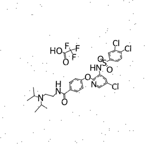 CC(C)N(CCNC(=O)c1ccc(Oc2ncc(Cl)cc2NS(=O)(=O)c2ccc(Cl)c(Cl)c2)cc1)C(C)C.O=C(O)C(F)(F)F